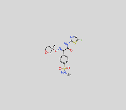 CCNS(=O)(=O)c1ccc(/C(=N\O[C@@]2(C)CCOC2)C(=O)Nc2ncc(F)s2)cc1